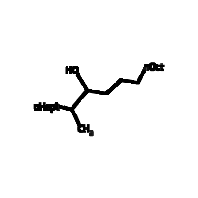 CCCCCCCCCCCC(O)C(C)CCCCCCC